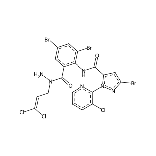 NN(CC=C(Cl)Cl)C(=O)c1cc(Br)cc(Br)c1NC(=O)c1cc(Br)nn1-c1ncccc1Cl